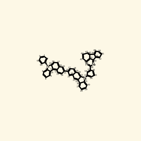 c1ccc(-n2c3ccccc3c3c4ccc(-c5ccc6cc7c(cc6c5)c5ccccc5n7-c5cccc(-c6nc7c8c(cccc8n6)-c6ccccc6-7)c5)cc4ccc32)cc1